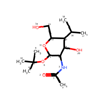 CC(=O)NC1C(OC(C)(C)C)OC(CO)C(C(C)C)C1O